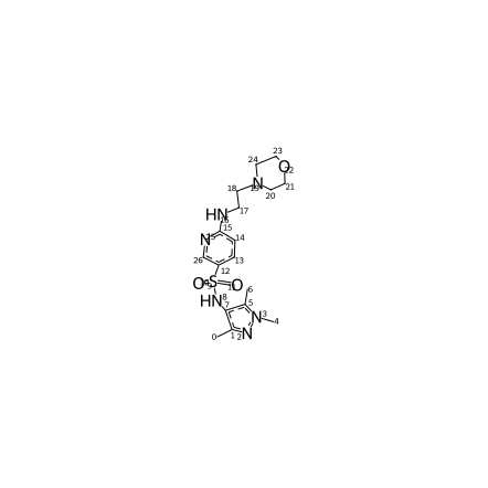 Cc1nn(C)c(C)c1NS(=O)(=O)c1ccc(NCCN2CCOCC2)nc1